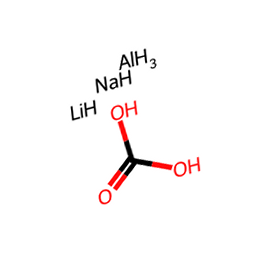 O=C(O)O.[AlH3].[LiH].[NaH]